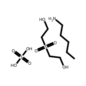 CCCCCN.O=S(=O)(CCO)CCO.O=S(=O)(O)O